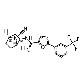 N#CN1[C@H]2CC[C@@H]1[C@H](NC(=O)c1ccc(-c3cccc(C(F)(F)F)c3)o1)C2